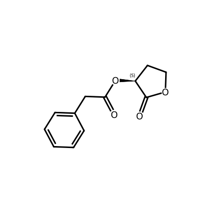 O=C(Cc1ccccc1)O[C@H]1CCOC1=O